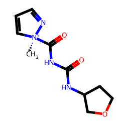 C[N@+]1(C(=O)NC(=O)NC2CCOC2)C=[C]C=N1